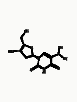 O=c1[nH]c(=O)n([C@H]2C[C@H](O)[C@@H](CO)O2)cc1B(O)O